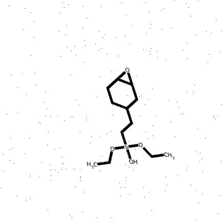 CCO[Si](O)(CCC1CCC2OC2C1)OCC